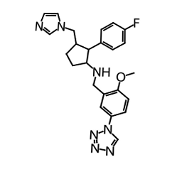 COc1ccc(-n2cnnn2)cc1CNC1CCC(Cn2ccnc2)C1c1ccc(F)cc1